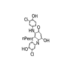 CCCCCC1=C(Nc2ccc(O)c(Cl)c2)C(=O)C=C(O)C1=Nc1ccc(O)c(Cl)c1